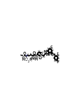 CN(C)C(=O)/C=C/CCC(NC(=O)O)C(=O)Nc1cccn(Cc2nc3cc(F)cc(OCc4ccc(F)cc4F)c3[nH]2)c1=O